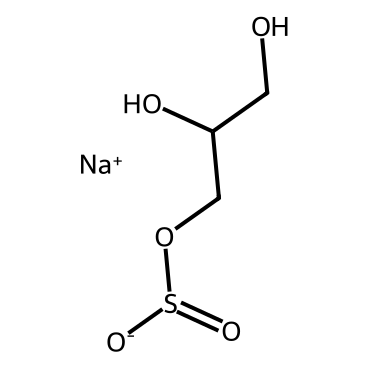 O=S([O-])OCC(O)CO.[Na+]